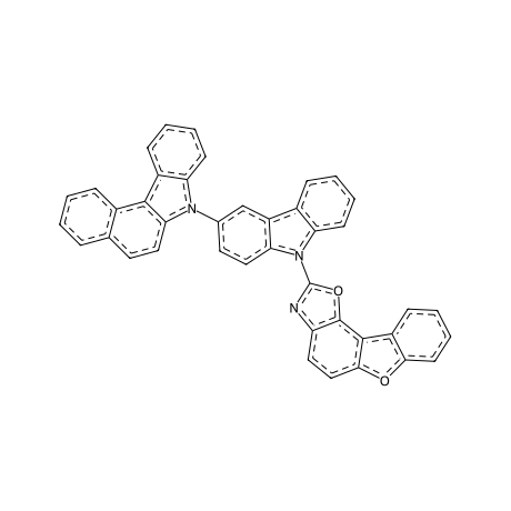 c1ccc2c(c1)ccc1c2c2ccccc2n1-c1ccc2c(c1)c1ccccc1n2-c1nc2ccc3oc4ccccc4c3c2o1